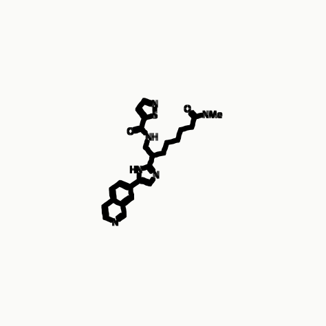 CNC(=O)CCCCCC(CNC(=O)c1ccns1)c1ncc(-c2ccc3ccncc3c2)[nH]1